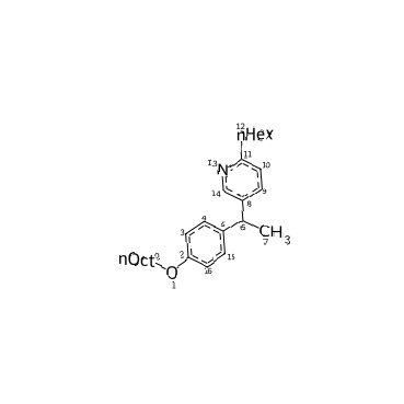 CCCCCCCCOc1ccc(C(C)c2ccc(CCCCCC)nc2)cc1